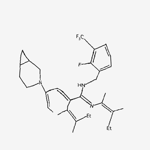 C\C=C(/C=C(C(=N/C(C)=C(/C)CC)/NCc1cccc(C(F)(F)F)c1F)\C(C)=C(\C)CC)N1CCC2CC2C1